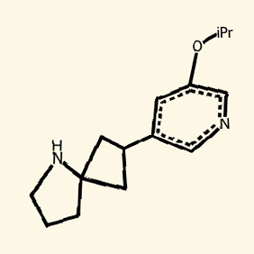 CC(C)Oc1cncc(C2CC3(CCCN3)C2)c1